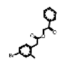 Cc1cc(Br)ccc1CC(=O)OCC(=O)c1ccccc1